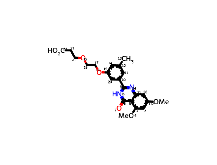 COc1cc(OC)c2c(=O)[nH]c(-c3cc(C)cc(OCCOCCC(=O)O)c3)nc2c1